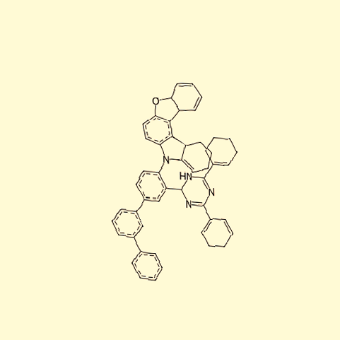 C1=CC2Oc3ccc4c(c3C2C=C1)C1CCCC=C1N4c1ccc(-c2cccc(-c3ccccc3)c2)cc1C1N=C(C2=CCCC=C2)N=C(C2=CCCCC2)N1